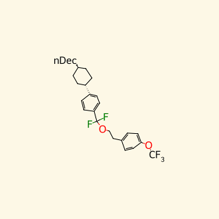 CCCCCCCCCC[C@H]1CC[C@H](c2ccc(C(F)(F)OCCc3ccc(OC(F)(F)F)cc3)cc2)CC1